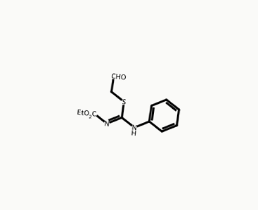 CCOC(=O)/N=C(/Nc1ccccc1)SCC=O